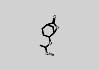 COC(C)OC1CCC2CC1OC2=O